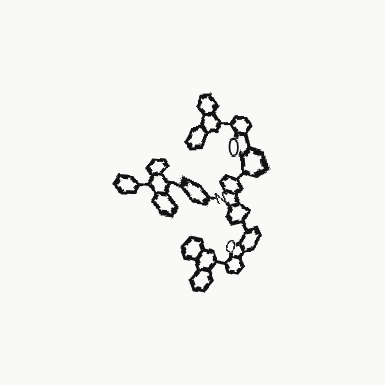 c1ccc(-c2c3ccccc3c(-c3ccc(-n4c5ccc(-c6cccc7c6oc6c(-c8cc9ccccc9c9ccccc89)cccc67)cc5c5cc(-c6cccc7c6oc6c(-c8cc9ccccc9c9ccccc89)cccc67)ccc54)cc3)c3ccccc23)cc1